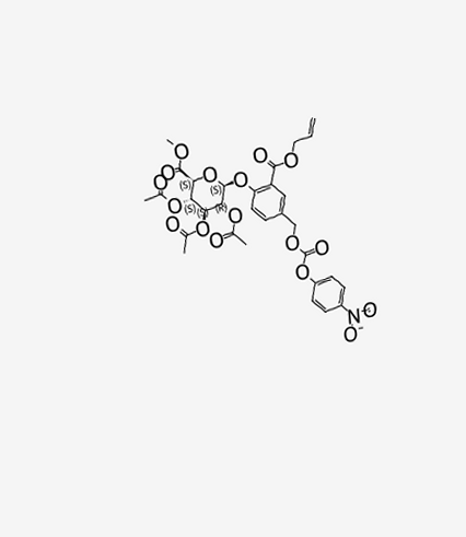 C=CCOC(=O)c1cc(COC(=O)Oc2ccc([N+](=O)[O-])cc2)ccc1O[C@@H]1O[C@H](C(=O)OC)[C@@H](OC(C)=O)[C@H](OC(C)=O)[C@H]1OC(C)=O